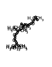 Cc1ccccc1N(c1ccc2cc3c(cc2c1)oc1cc2cc4oc5cc6cc(N(c7ccccc7C)c7ccc(CC(C)(C)c8ccc(N(c9ccc(C(C)(C)C)cc9)c9ccc%10cc%11c(cc%10c9)oc9cc%10cc%12oc%13cc%14cc(N(c%15ccc(C(C)(C)C)cc%15)c%15ccc(C(C)(C)C)cc%15)ccc%14cc%13c%12cc%10cc9%11)cc8)cc7C)ccc6cc5c4cc2cc13)c1ccccc1C